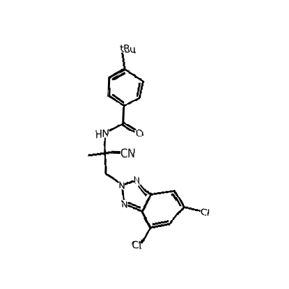 CC(C#N)(Cn1nc2cc(Cl)cc(Cl)c2n1)NC(=O)c1ccc(C(C)(C)C)cc1